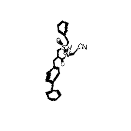 N#CCNC(=O)C(Cc1ccc(-c2ccccc2)cc1)CS(=O)(=O)Cc1ccccc1